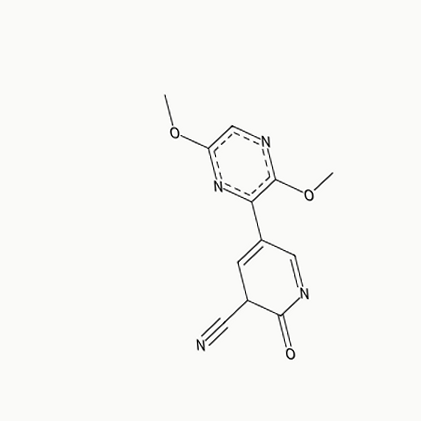 COc1cnc(OC)c(C2=CC(C#N)C(=O)N=C2)n1